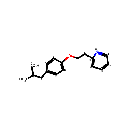 O=C(O)C(Cc1ccc(OCCc2ccccn2)cc1)C(=O)O